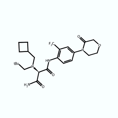 CC(C)(C)CN(CC1CCC1)[C@H](C(N)=O)C(=O)Nc1ccc(N2CCOCC2=O)cc1C(F)(F)F